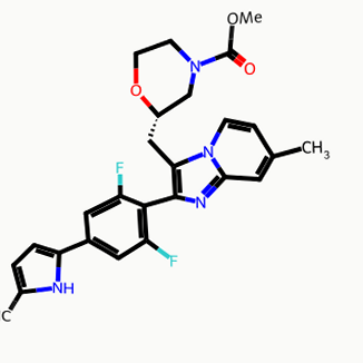 COC(=O)N1CCO[C@@H](Cc2c(-c3c(F)cc(-c4ccc(C#N)[nH]4)cc3F)nc3cc(C)ccn23)C1